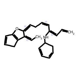 C=C/C=C(\C=C/C/C=c1/oc2c(/c1=C/C)CC=C2)NC1C=CC=CC1